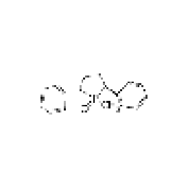 CP1(=O)[C@H](c2ccccc2)CC[C@H]1c1ccccc1